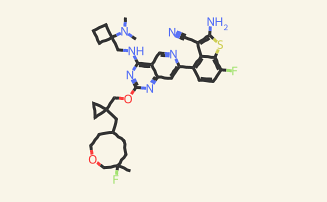 CN(C)C1(CNc2nc(OCC3(CC4CCOCC(C)(F)CC4)CC3)nc3cc(-c4ccc(F)c5sc(N)c(C#N)c45)ncc23)CCC1